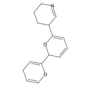 C1=CC(C2=CCC=CO2)OC(C2C=NCCC2)=C1